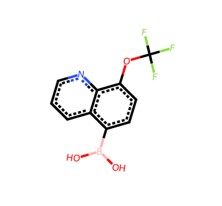 OB(O)c1ccc(OC(F)(F)F)c2ncccc12